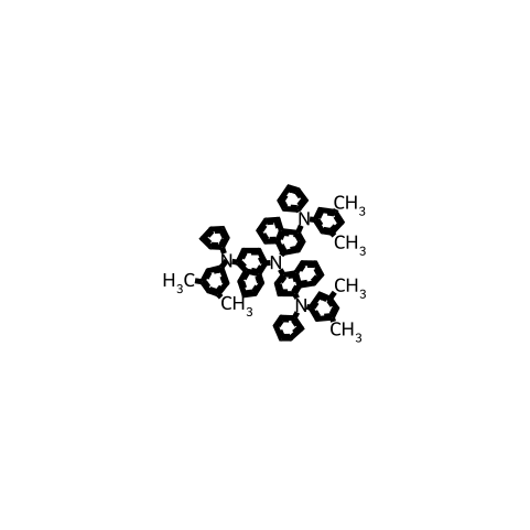 Cc1cc(C)cc(N(c2ccccc2)c2ccc(N(c3ccc(N(c4ccccc4)c4cc(C)cc(C)c4)c4ccccc34)c3ccc(N(c4ccccc4)c4cc(C)cc(C)c4)c4ccccc34)c3ccccc23)c1